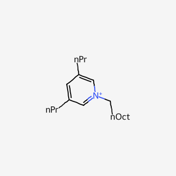 CCCCCCCCC[n+]1cc(CCC)cc(CCC)c1